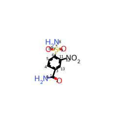 NC(=O)c1ccc(S(N)(=O)=O)c([N+](=O)[O-])c1